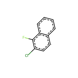 Fc1c(Cl)c[c]c2ccccc12